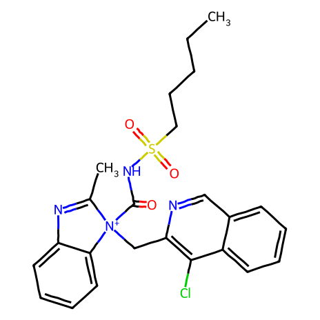 CCCCCS(=O)(=O)NC(=O)[N+]1(Cc2ncc3ccccc3c2Cl)C(C)=Nc2ccccc21